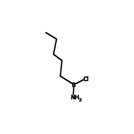 CCCCCB(N)Cl